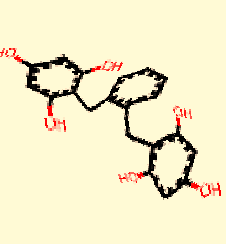 Oc1cc(O)c(Cc2ccccc2Cc2c(O)cc(O)cc2O)c(O)c1